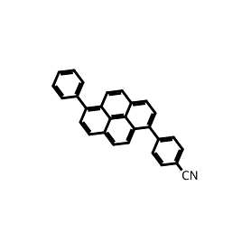 N#Cc1ccc(-c2ccc3ccc4c(-c5ccccc5)ccc5ccc2c3c54)cc1